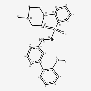 COc1ccccc1-c1cc(NNS(=O)(=O)c2ccccc2N2CCN(C)CC2)ncn1